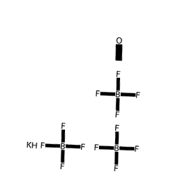 C=O.F[B-](F)(F)F.F[B-](F)(F)F.F[B-](F)(F)F.[KH]